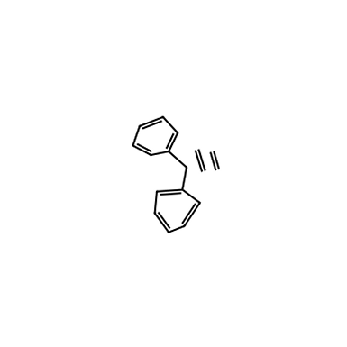 C=C.C=C.c1ccc(Cc2ccccc2)cc1